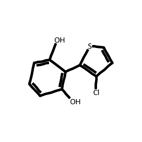 Oc1cccc(O)c1-c1sccc1Cl